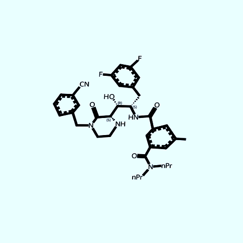 CCCN(CCC)C(=O)c1cc(C)cc(C(=O)N[C@@H](Cc2cc(F)cc(F)c2)[C@@H](O)[C@@H]2NCCN(Cc3cccc(C#N)c3)C2=O)c1